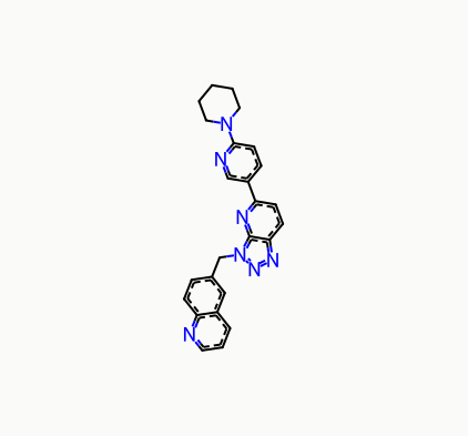 c1cnc2ccc(Cn3nnc4ccc(-c5ccc(N6CCCCC6)nc5)nc43)cc2c1